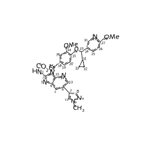 CCOC(=O)Nc1nc2cc(-c3cnn(C)c3)cnc2n1Cc1ccc(OC(c2ccc(OC)nc2)C2CC2)c(OC)c1